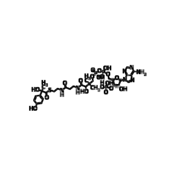 CC(O)(C(=O)SCCNC(=O)CCNC(=O)C(O)C(C)(C)COP(=O)(O)OP(=O)(O)OC[C@H]1O[C@@H](n2cnc3c(N)ncnc32)[C@H](O)[C@@H]1OP(=O)(O)O)c1ccc(O)cc1